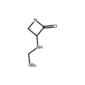 CCCCCNC1C[N]C1=O